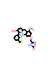 Cc1cc(OCc2noc(=O)[nH]2)c(F)c(C)c1Cc1ccc(O)c(-c2cccc(C(F)(F)F)c2F)n1